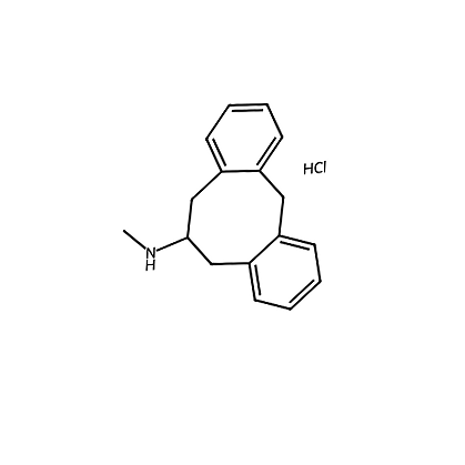 CNC1Cc2ccccc2Cc2ccccc2C1.Cl